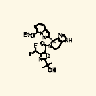 CCOc1cccc2cc([C@H]3c4nc[nH]c4CCN3C(=O)c3oc(C(C)(C)O)nc3C(F)F)nn12